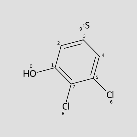 Oc1cccc(Cl)c1Cl.[S]